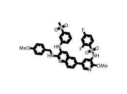 COc1ccc(CNc2nc3ccc(-c4cnc(OC)c(NS(=O)(=O)c5ccc(F)cc5F)c4)cc3cc2Nc2cccc(S(C)(=O)=O)c2)cc1